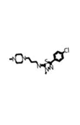 CN1CCN(CCCN=c2sc(-c3ccc(Cl)cc3)nn2C)CC1